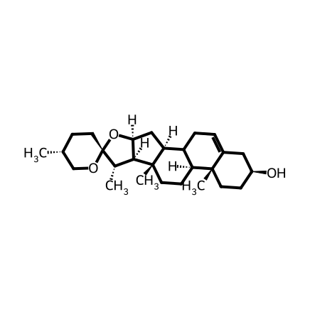 C[C@@H]1CC[C@@]2(OC1)O[C@H]1C[C@H]3C4CC=C5C[C@@H](O)CC[C@]5(C)[C@H]4CC[C@]3(C)[C@H]1[C@@H]2C